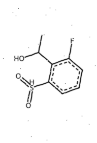 [CH2]C(O)c1c(F)cccc1[SH](=O)=O